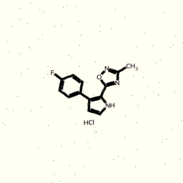 Cc1noc(-c2[nH]ccc2-c2ccc(F)cc2)n1.Cl